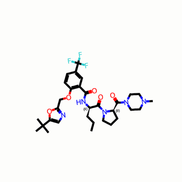 CCC[C@@H](NC(=O)c1cc(C(F)(F)F)ccc1OCc1ncc(C(C)(C)C)o1)C(=O)N1CCC[C@@H]1C(=O)N1CCN(C)CC1